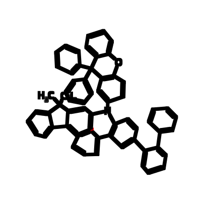 CC1(C)c2ccccc2-c2ccc(N(c3ccc4c(c3)C(c3ccccc3)(c3ccccc3)c3ccccc3O4)c3ccc(-c4ccccc4-c4ccccc4)cc3-c3ccccc3)cc21